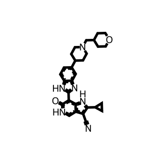 N#Cc1c(C2CC2)[nH]c2c(-c3nc4cc(C5CCN(CC6CCOCC6)CC5)ccc4[nH]3)c(=O)[nH]cc12